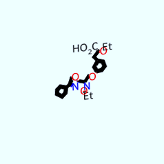 CCON=C(COc1cccc(CC(OCC)C(=O)O)c1)c1nc(-c2ccccc2)co1